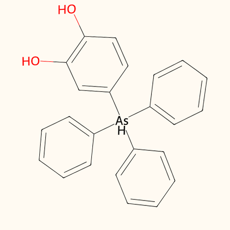 Oc1ccc([AsH](c2ccccc2)(c2ccccc2)c2ccccc2)cc1O